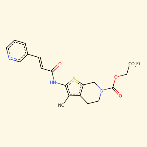 CCOC(=O)COC(=O)N1CCc2c(sc(NC(=O)C=Cc3cccnc3)c2C#N)C1